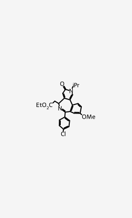 CCOC(=O)CC1N=C(c2ccc(Cl)cc2)c2cc(OC)ccc2-c2cn(C(C)C)c(=O)cc21